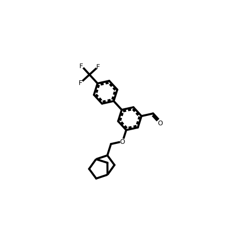 O=Cc1cc(OCC2CC3CCC2C3)cc(-c2ccc(C(F)(F)F)cc2)c1